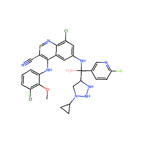 BC(Nc1cc(Cl)c2ncc(C#N)c(Nc3cccc(Cl)c3OC)c2c1)(c1ccc(F)nc1)C1CN(C2CC2)NN1